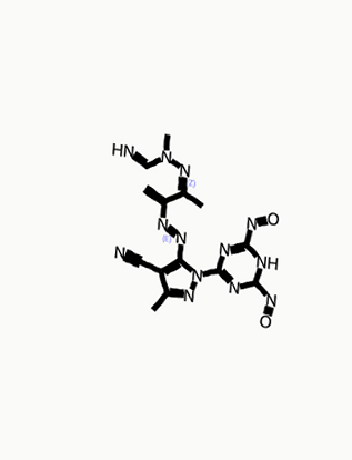 C=C(/N=N/c1c(C#N)c(C)nn1C1=NC(N=O)NC(N=O)=N1)/C(C)=N\N(C)C=N